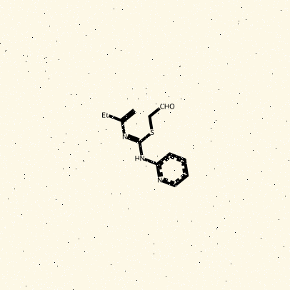 C=C(CC)/N=C(/Nc1ccccn1)SCC=O